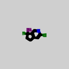 FC1(P)CCc2cc(Cl)ncc21